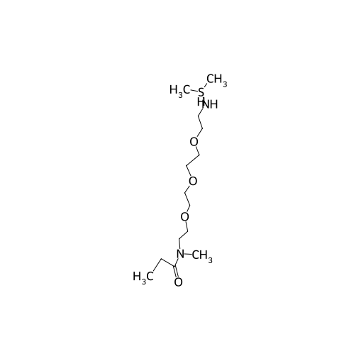 CCC(=O)N(C)CCOCCOCCOCCN[SH](C)C